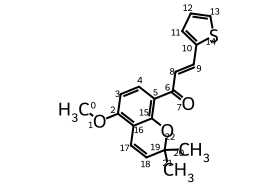 COc1ccc(C(=O)C=Cc2cccs2)c2c1C=CC(C)(C)O2